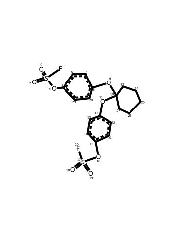 O=S(=O)(F)Oc1ccc(OC2(Oc3ccc(OS(=O)(=O)F)cc3)CCCCC2)cc1